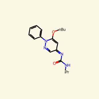 CCCCOc1cc(=NC(=O)NC(C)C)cnn1-c1ccccc1